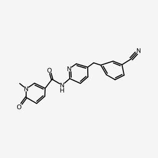 Cn1cc(C(=O)Nc2ccc(Cc3cccc(C#N)c3)cn2)ccc1=O